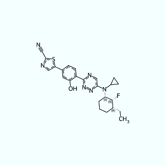 CC[C@@H]1CCC[C@H](N(c2cnc(-c3ccc(-c4cnc(C#N)s4)cc3O)nn2)C2CC2)[C@@H]1F